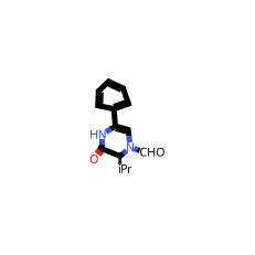 CC(C)[C@H]1C(=O)NC(c2ccccc2)=CN1C=O